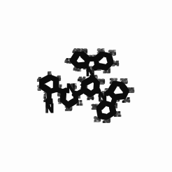 N#Cc1ccccc1-c1cccc(-c2cc(-n3c4ccccc4c4ccccc43)cc(-n3c4ccccc4c4ccccc43)c2)n1